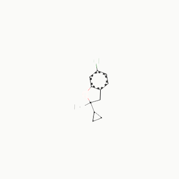 CC1(C2CC2)Cc2ccc(Cl)cc2O1